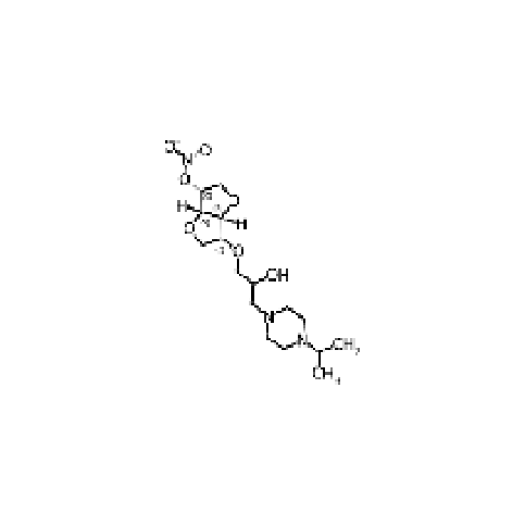 CC(C)N1CCN(CC(O)CO[C@H]2CO[C@H]3[C@@H]2OC[C@H]3O[N+](=O)[O-])CC1